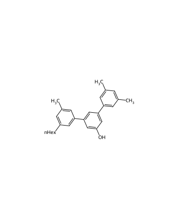 CCCCCCc1cc(C)cc(-c2cc(O)cc(-c3cc(C)cc(C)c3)c2)c1